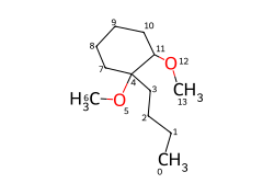 CCCCC1(OC)CCCCC1OC